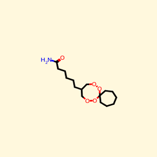 NC(=O)CCCCCC1COOC2(CCCCCC2)OOC1